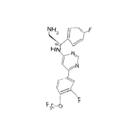 NC[C@H](Nc1cc(-c2ccc(OC(F)(F)F)c(F)c2)ncn1)c1ccc(F)cc1